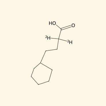 [2H]C([2H])(CCC1CCCCC1)C(=O)O